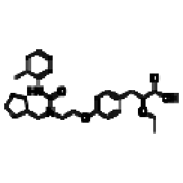 CCOC(Cc1ccc(OCCN(CC2CCCC2)C(=O)Nc2ccccc2C)cc1)C(=O)O